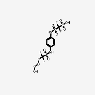 O=S(=O)(O)C(F)(F)S(=O)(=O)Nc1ccc(NS(=O)(=O)C(F)(F)SOOO)cc1